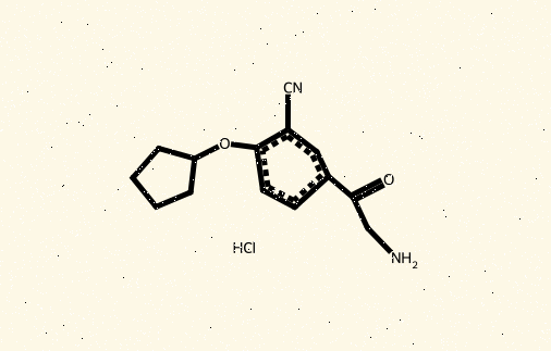 Cl.N#Cc1cc(C(=O)CN)ccc1OC1CCCC1